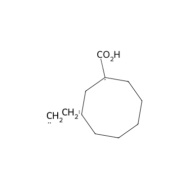 O=C(O)[C]1CCCCCCC1.[CH2].[CH2]